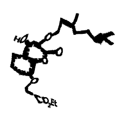 CCOC(=O)COc1cccc2c(O)c(OCC=C(C)CCC=C(C)C)c(=O)oc12